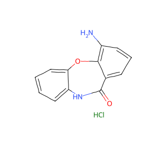 Cl.Nc1cccc2c1Oc1ccccc1NC2=O